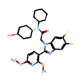 COc1ccc(-c2nc3cc(F)c(F)cc3n2CC(=O)N(C2CCCCC2)[C@H]2CC[C@H](O)CC2)c(OC)n1